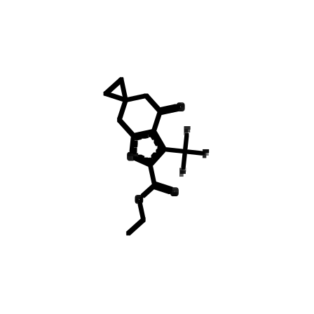 CCOC(=O)c1oc2c(c1C(F)(F)F)C(=O)CC1(CC1)C2